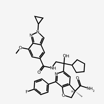 COc1cc(C(=O)NCC(O)(c2cc3c(c(-c4ccc(F)cc4)n2)OC[C@]3(C)C(N)=O)C2CCCC2)cc2cn(C3CC3)nc12